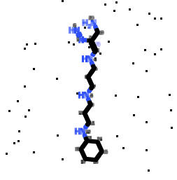 N=N/C(=C\NCCCNCCCNC1CCCCC1)CN